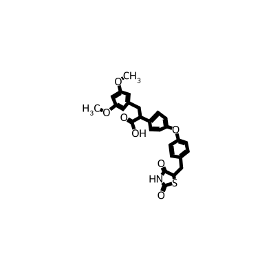 COc1cc(CC(C(=O)O)c2ccc(Oc3ccc(CC4SC(=O)NC4=O)cc3)cc2)cc(OC)c1